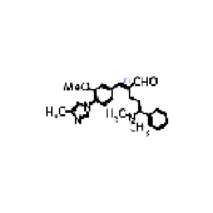 COc1cc(/C=C(/C=O)CCC(c2ccccc2)N(C)C)ccc1-n1cnc(C)c1